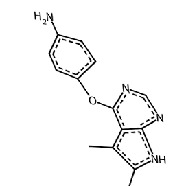 Cc1[nH]c2ncnc(Oc3ccc(N)cc3)c2c1C